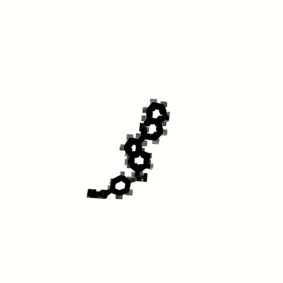 CO[C@H]1CC[C@H](Nc2ncc3c(-c4ccc5ncccc5n4)ccn3n2)CC1